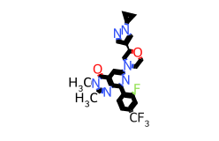 Cc1nc2c(-c3ccc(C(F)(F)F)cc3F)nc(N3CCO[C@H](c4cnn(C5CC5)c4)C3)cc2c(=O)n1C